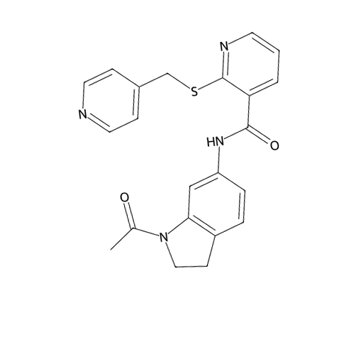 CC(=O)N1CCc2ccc(NC(=O)c3cccnc3SCc3ccncc3)cc21